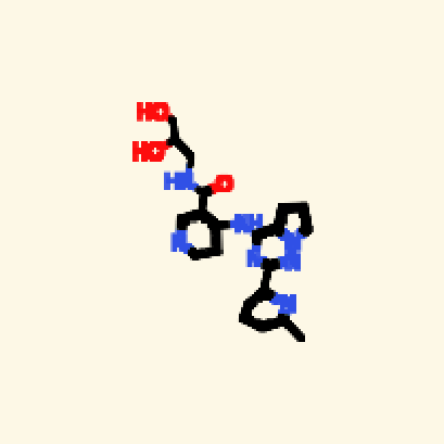 Cc1cccc(-c2nc(Nc3ccncc3C(=O)NCC(O)CO)c3cccn3n2)n1